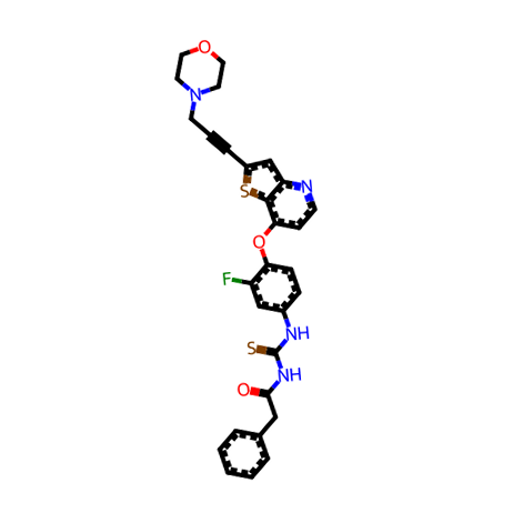 O=C(Cc1ccccc1)NC(=S)Nc1ccc(Oc2ccnc3cc(C#CCN4CCOCC4)sc23)c(F)c1